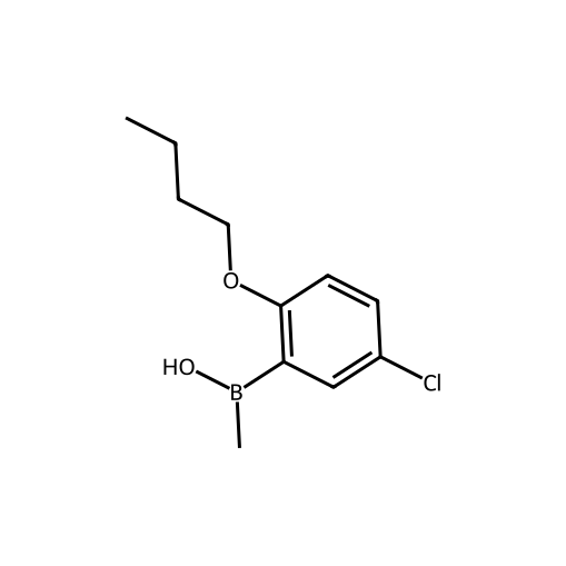 CCCCOc1ccc(Cl)cc1B(C)O